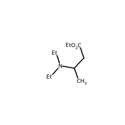 CCOC(=O)CC(C)N(CC)CC